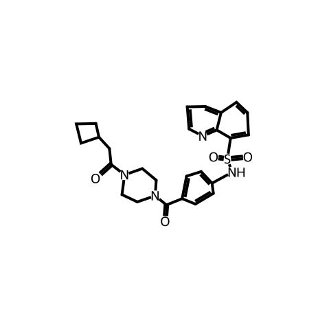 O=C(CC1CCC1)N1CCN(C(=O)c2ccc(NS(=O)(=O)c3cccc4cccnc34)cc2)CC1